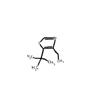 CCc1ncsc1C(C)(C)C